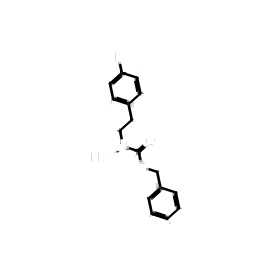 Bc1ccc(CCN(C)C(=O)OCc2ccccc2)cc1